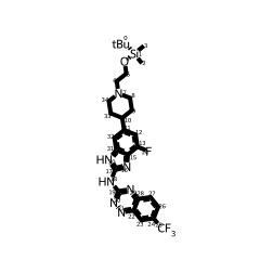 CC(C)(C)[Si](C)(C)OCCN1CCC(c2cc(F)c3nc(Nc4nnc5cc(C(F)(F)F)ccc5n4)[nH]c3c2)CC1